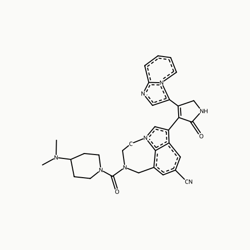 CN(C)C1CCN(C(=O)N2CCn3cc(C4=C(c5cnc6ccccn56)CNC4=O)c4cc(C#N)cc(c43)C2)CC1